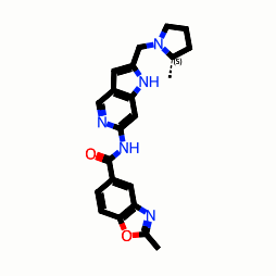 Cc1nc2cc(C(=O)Nc3cc4[nH]c(CN5CCC[C@@H]5C)cc4cn3)ccc2o1